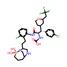 O=C(O)N[C@@H](C(=O)Nc1cccc(F)c1CCC1CNC2CCCS(O)(O)N1C2)[C@@H](c1ccc(Cl)cc1)C1CCOC(CC(F)(F)F)C1